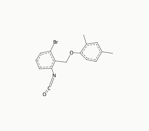 Cc1ccc(OCc2c(Br)cccc2N=C=O)c(C)c1